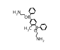 Cc1cc(B(OCCN)c2ccccc2)ccc1B(OCCN)c1ccccc1